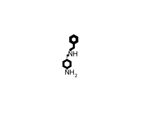 N[C@H]1CC[C@H](CNCCc2ccccc2)CC1